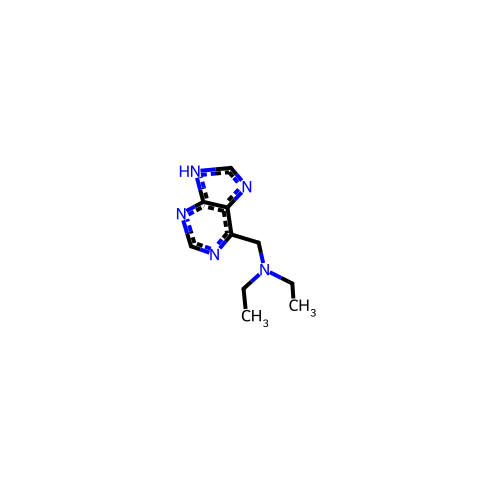 CCN(CC)Cc1ncnc2[nH]cnc12